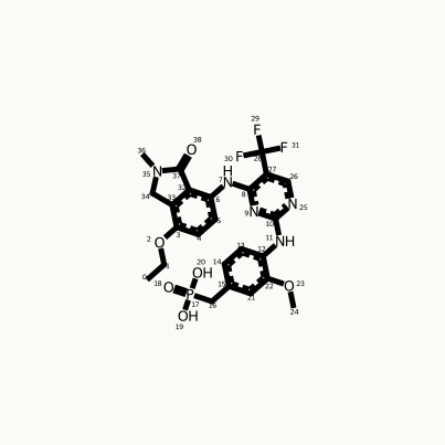 CCOc1ccc(Nc2nc(Nc3ccc(CP(=O)(O)O)cc3OC)ncc2C(F)(F)F)c2c1CN(C)C2=O